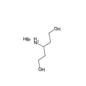 Br.NC(CCO)CCO